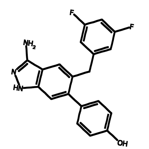 Nc1n[nH]c2cc(-c3ccc(O)cc3)c(Cc3cc(F)cc(F)c3)cc12